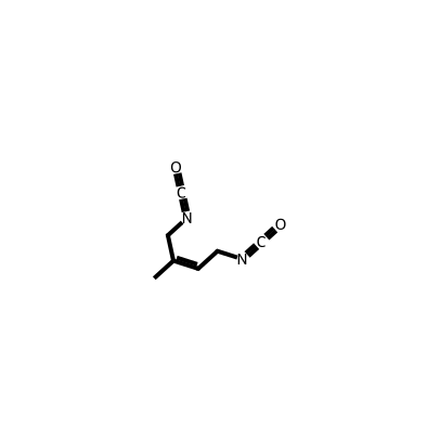 CC(=CCN=C=O)CN=C=O